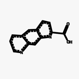 O=C(O)c1ccc2cc3cccnc3cc2n1